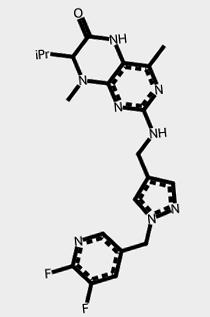 Cc1nc(NCc2cnn(Cc3cnc(F)c(F)c3)c2)nc2c1NC(=O)C(C(C)C)N2C